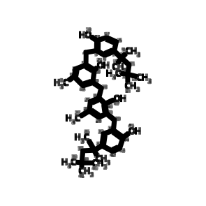 Cc1cc(Cc2cc(C(C)(C)CC(C)(C)C)ccc2O)c(O)c(Cc2cc(C)cc(Cc3cc(C(C)(C)CC(C)(C)C)ccc3O)c2O)c1